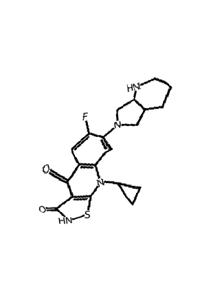 O=c1[nH]sc2c1c(=O)c1cc(F)c(N3CC4CCCNC4C3)cc1n2C1CC1